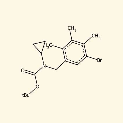 Cc1c(Br)cc(CN(C(=O)OC(C)(C)C)C2CC2)c(C)c1C